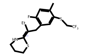 CC/C(Cc1cc(SCC(F)(F)F)c(C)cc1F)=C1\NCCCS1